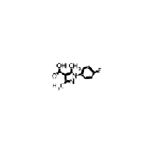 Cc1nn(-c2ccc(F)cc2)c(C)c1C(=O)O